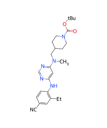 CCc1cc(C#N)ccc1Nc1cc(N(C)CC2CCN(C(=O)OC(C)(C)C)CC2)ncn1